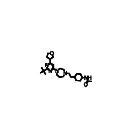 CC(=O)NC1CCC(CCN2CCCN(c3cc(C4CCOC4)nc(C(C)(C)C)n3)CC2)CC1